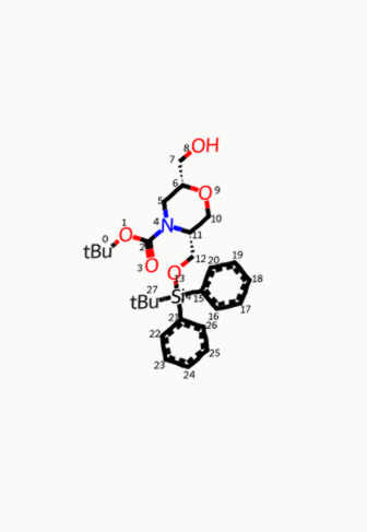 CC(C)(C)OC(=O)N1C[C@H](CO)OC[C@@H]1CO[Si](c1ccccc1)(c1ccccc1)C(C)(C)C